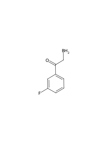 BCC(=O)c1cccc(F)c1